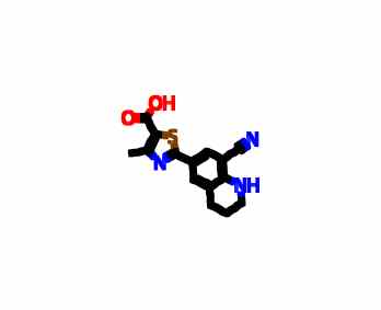 Cc1nc(-c2cc(C#N)c3c(c2)CCCN3)sc1C(=O)O